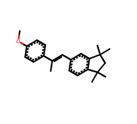 COc1ccc(/C(C)=C/c2ccc3c(c2)C(C)(C)CC3(C)C)cc1